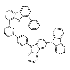 c1ccc(-c2cccc3c2sc2c(-c4cccc(-c5ccc(-n6c7ccccc7c7cc(-n8c9ccccc9c9ccccc98)ccc76)cc5)c4)cccc23)cc1